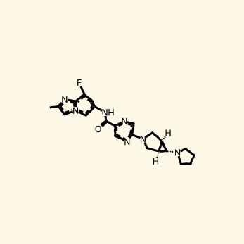 Cc1cn2cc(NC(=O)c3cnc(N4C[C@@H]5[C@H](C4)[C@H]5N4CCCC4)cn3)cc(F)c2n1